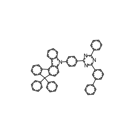 c1ccc(-c2cccc(-c3nc(-c4ccccc4)nc(-c4ccc(-n5c6ccccc6c6c7c(ccc65)C(c5ccccc5)(c5ccccc5)c5ccccc5-7)cc4)n3)c2)cc1